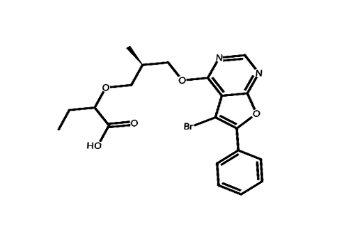 CCC(OC[C@@H](C)COc1ncnc2oc(-c3ccccc3)c(Br)c12)C(=O)O